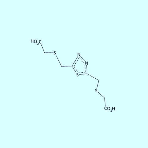 O=C(O)CSCc1nnc(CSCC(=O)O)s1